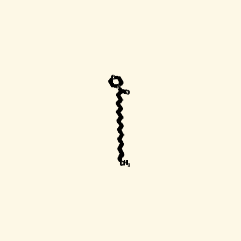 C/C=C/CCCCCCCCCCCCCC(=O)N1CCOCC1